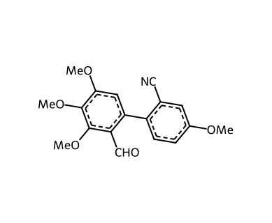 COc1ccc(-c2cc(OC)c(OC)c(OC)c2C=O)c(C#N)c1